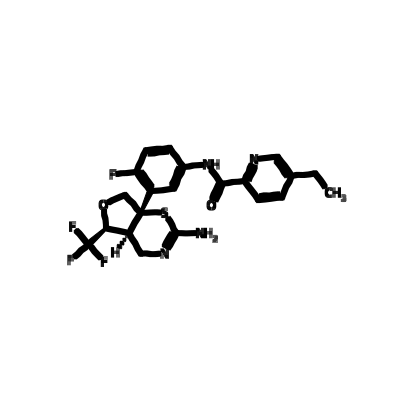 CCc1ccc(C(=O)Nc2ccc(F)c([C@]34CO[C@H](C(F)(F)F)[C@@H]3CN=C(N)S4)c2)nc1